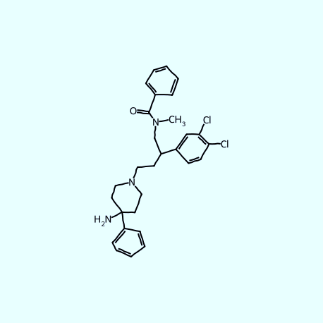 CN(CC(CCN1CCC(N)(c2ccccc2)CC1)c1ccc(Cl)c(Cl)c1)C(=O)c1ccccc1